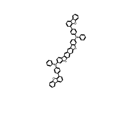 c1ccc(N(c2ccc(-c3cccc4c3oc3ccccc34)cc2)c2ccc3c(c2)sc2cc4cc5sc6cc(N(c7ccccc7)c7ccc(-c8cccc9c8oc8ccccc89)cc7)ccc6c5cc4cc23)cc1